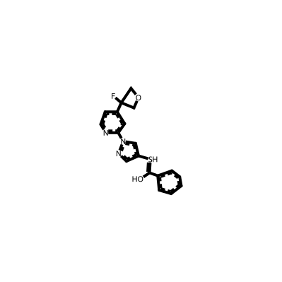 OC(=[SH]c1cnn(-c2cc(C3(F)COC3)ccn2)c1)c1ccccc1